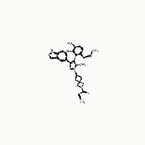 C=CC(=O)N1CC2(CC(n3nc(-c4ccc5[nH]ncc5c4)c(-c4c(/C=N\NC)ccc(C)c4Cl)c3C)C2)C1